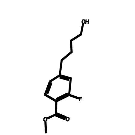 COC(=O)c1ccc(CCCCO)cc1F